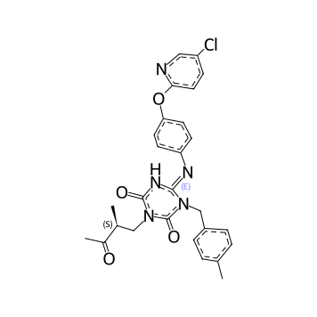 CC(=O)[C@@H](C)Cn1c(=O)[nH]/c(=N\c2ccc(Oc3ccc(Cl)cn3)cc2)n(Cc2ccc(C)cc2)c1=O